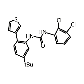 CC(C)(C)c1ccc(-c2ccsc2)c(NC(=O)Nc2cccc(Cl)c2Cl)c1